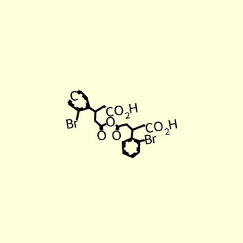 O=C(O)CC(CC(=O)OC(=O)CC(CC(=O)O)c1ccccc1Br)c1ccccc1Br